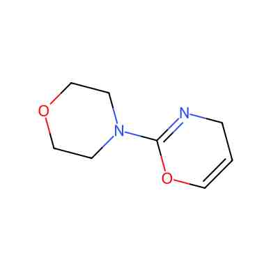 C1=COC(N2CCOCC2)=NC1